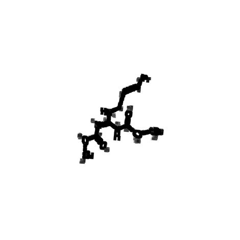 CC(C)/C=C/CN/C(=N/C(=O)OC(C)(C)C)NC(=O)OC(C)(C)C